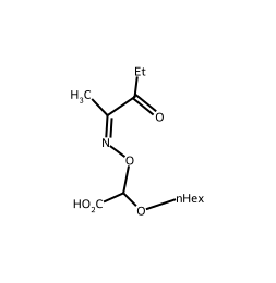 CCCCCCOC(ON=C(C)C(=O)CC)C(=O)O